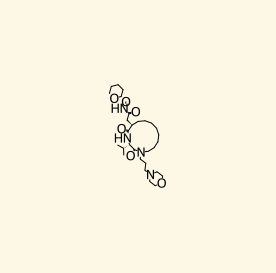 CC(C)[C@@H]1NC(=O)[C@@H](CC(=O)NOC2CCCCO2)CCCCCCCCN(CCCN2CCOCC2)C1=O